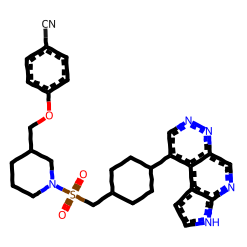 N#Cc1ccc(OCC2CCCN(S(=O)(=O)CC3CCC(c4cnnc5cnc6[nH]ccc6c45)CC3)C2)cc1